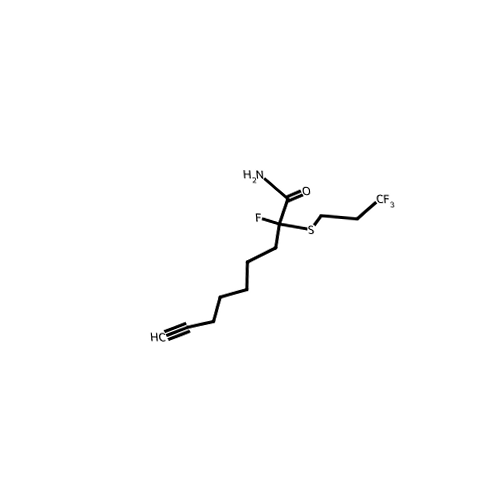 C#CCCCCCC(F)(SCCC(F)(F)F)C(N)=O